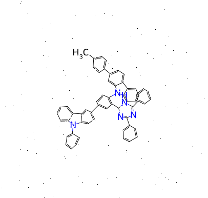 Cc1ccc(-c2ccc3c4ccccc4n(-c4ccc(-c5ccc6c(c5)c5ccccc5n6-c5ccccc5)cc4C4N=C(c5ccccc5)N=C(c5ccccc5)N4)c3c2)cc1